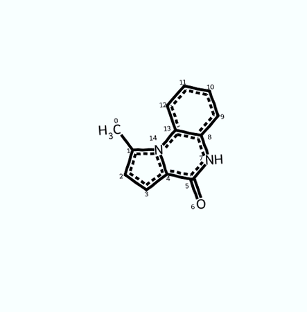 Cc1ccc2c(=O)[nH]c3ccccc3n12